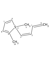 C=C/C=C\S1(C)C=CC=C1C